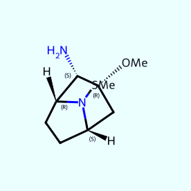 CO[C@@H]1C[C@@H]2CC[C@H]([C@@H]1N)N2SC